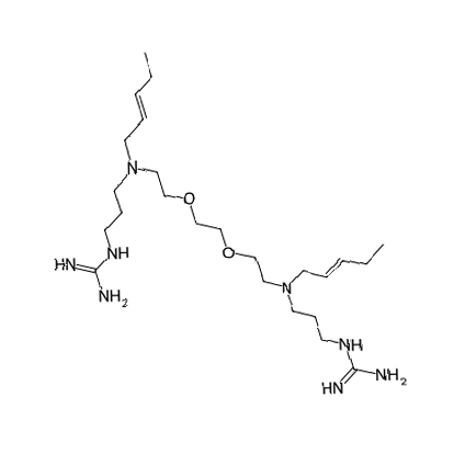 CCC=CCN(CCCNC(=N)N)CCOCCOCCN(CC=CCC)CCCNC(=N)N